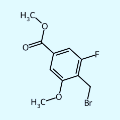 COC(=O)c1cc(F)c(CBr)c(OC)c1